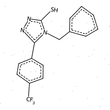 FC(F)(F)c1ccc(-c2nnc(S)n2Cc2ccccc2)cc1